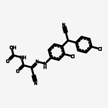 N#C/C(=N\Nc1ccc(C(C#N)c2ccc(Cl)cc2)c(Cl)c1)C(=O)NC(=O)O